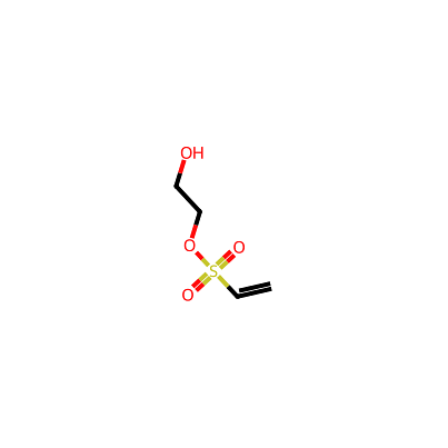 C=CS(=O)(=O)OCCO